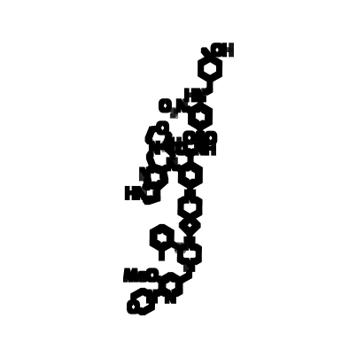 COc1cc(CN2CCN(C3CC4(CCN(c5ccc(C(=O)NS(=O)(=O)c6ccc(NCC7CCC(C)(O)CC7)c([N+](=O)[O-])c6)c(N6C[C@@H]7COCCN7Cc7nc8[nH]ccc8cc76)c5)CC4)C3)[C@H](c3ccccc3C)C2)cnc1N1CCOCC1